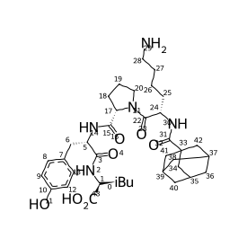 CC[C@H](C)[C@H](NC(=O)[C@H](Cc1ccc(O)cc1)NC(=O)[C@@H]1CCCN1C(=O)[C@H](CCCCN)NC(=O)C12CC3CC(CC(C3)C1)C2)C(=O)O